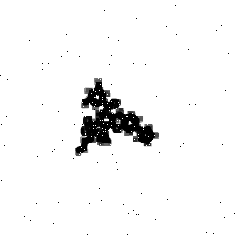 CCCCS(=O)(=O)C(=O)NN(C(=O)[C@H](Cc1ccc(-n2cccc2)cc1)N(C)C(=O)c1cc(C)cc(C)c1)C1CC1